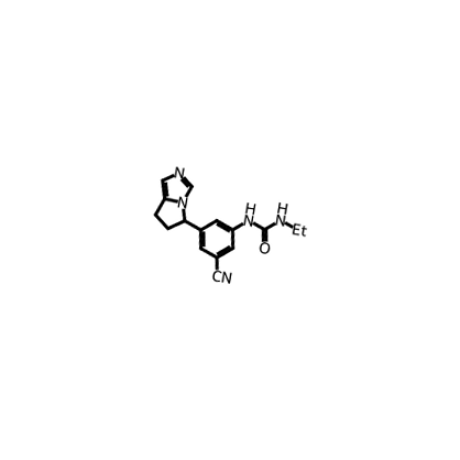 CCNC(=O)Nc1cc(C#N)cc(C2CCc3cncn32)c1